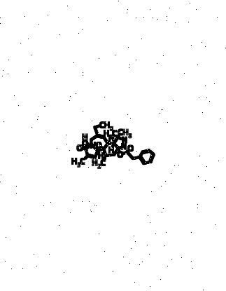 CCC1=C[C@H]2[C@@H]3C(C)(C)N=N[C@]3(OC(=O)Cc3ccccc3)C[C@@H](C)[C@]2(O)[C@@H]2C=C(C)C(=O)[C@@]2(O)C1